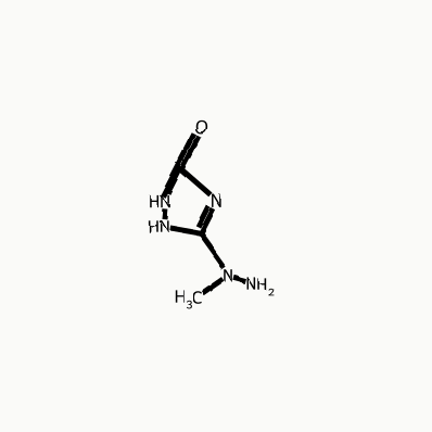 CN(N)c1nc(=O)[nH][nH]1